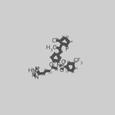 C/C(=C\c1ccc2c(c1)N(S(=O)(=O)c1cccc(C(F)(F)F)c1)C[C@H](CCCc1nn[nH]n1)O2)c1c(F)cccc1Cl